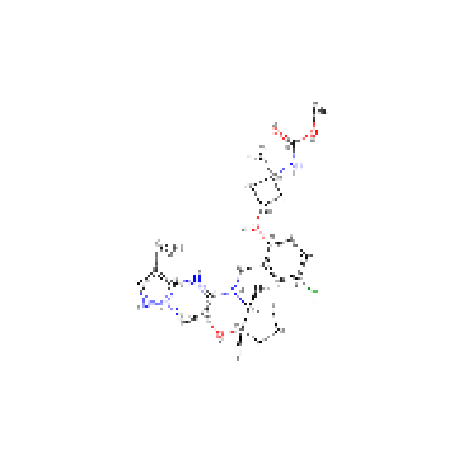 CCOC(=O)c1cnn2cc3c(nc12)N(Cc1cc(F)ccc1OC1CC(C)(NC(=O)OC(C)(C)C)C1)[C@@H]1CCC[C@@H]1O3